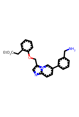 CCOC(=O)Cc1ccccc1OCc1cnc2ccc(-c3cccc(CN)c3)cn12